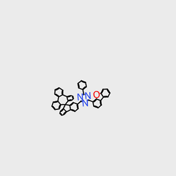 c1ccc(-c2nc(-c3ccc4c(c3)C3(c5ccccc5-c5ccccc5-c5ccccc53)c3ccccc3-4)nc(-c3cccc4c3oc3ccccc34)n2)cc1